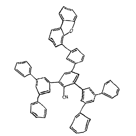 N#Cc1c(-c2cc(-c3ccccc3)cc(-c3ccccc3)c2)cc(-c2cccc(-c3cccc4c3oc3ccccc34)c2)cc1-c1cc(-c2ccccc2)cc(-c2ccccc2)c1